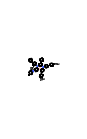 CCC1C2CC(C)CC(C2)N1c1ccc2c(c1)N(c1ccc(-c3ccccc3)cc1)c1cc(-c3ccccc3)cc3c1B2c1cc(-c2ccc(C(C)(C)C)cc2)ccc1N3c1ccc(-c2ccc(C(C)(C)C)cc2)cc1